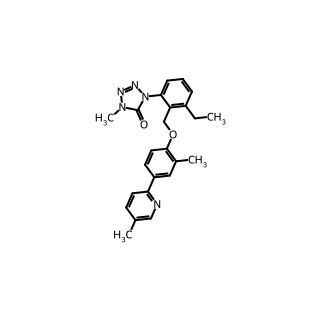 CCc1cccc(-n2nnn(C)c2=O)c1COc1ccc(-c2ccc(C)cn2)cc1C